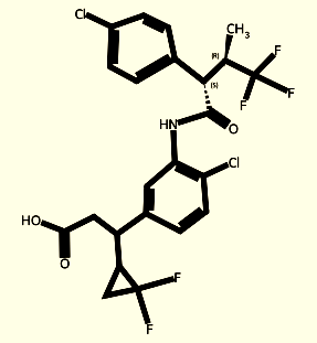 C[C@H]([C@H](C(=O)Nc1cc(C(CC(=O)O)C2CC2(F)F)ccc1Cl)c1ccc(Cl)cc1)C(F)(F)F